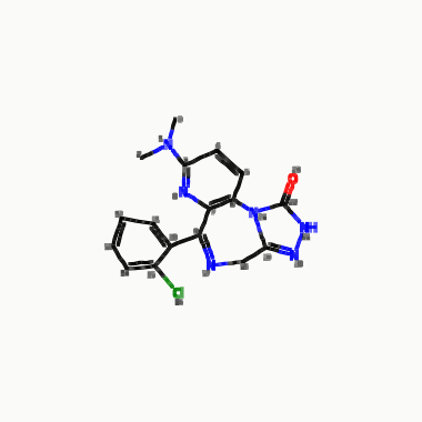 CN(C)c1ccc2c(n1)C(c1ccccc1Cl)=NCc1n[nH]c(=O)n1-2